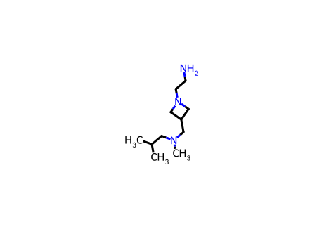 CC(C)CN(C)CC1CN(CCN)C1